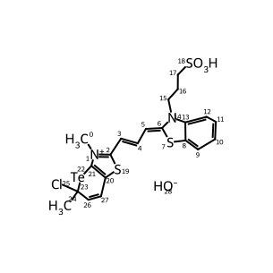 C[n+]1c(C=CC=C2Sc3ccccc3N2CCCS(=O)(=O)O)sc2c1[Te]C(C)(Cl)C=C2.[OH-]